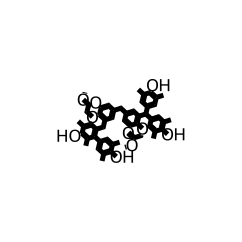 COC(=O)COc1ccc(Cc2ccc(OCC(=O)OC)c(C(c3cc(C)c(O)c(C)c3)c3cc(C)c(O)c(C)c3)c2)cc1Cc1cc(C)c(O)c(C)c1-c1cc(C)c(O)c(C)c1